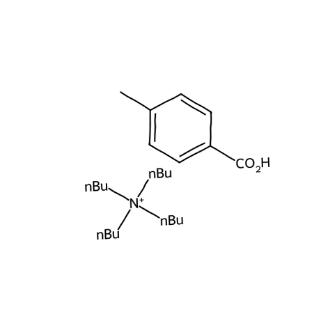 CCCC[N+](CCCC)(CCCC)CCCC.Cc1ccc(C(=O)O)cc1